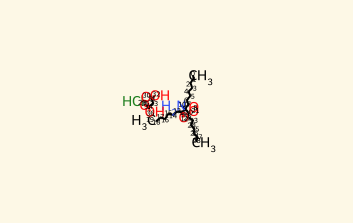 CCCCCCCC(=O)C(N)(C(=O)CCCCCCC)C(=O)CCCCCCC.Cl.O=C(O)CC(=O)O